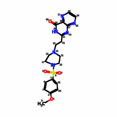 COc1ccc(S(=O)(=O)N2CCN(CCc3nc4nccnc4c(=O)[nH]3)CC2)cc1